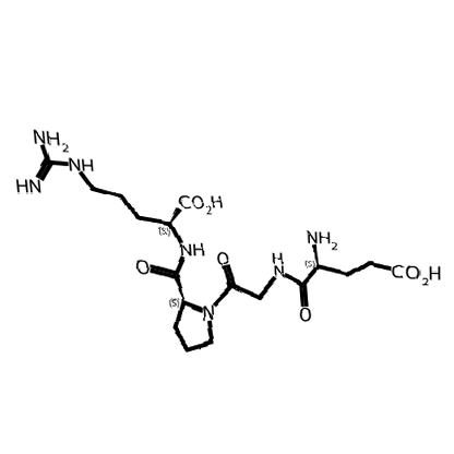 N=C(N)NCCC[C@H](NC(=O)[C@@H]1CCCN1C(=O)CNC(=O)[C@@H](N)CCC(=O)O)C(=O)O